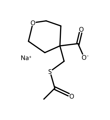 CC(=O)SCC1(C(=O)[O-])CCOCC1.[Na+]